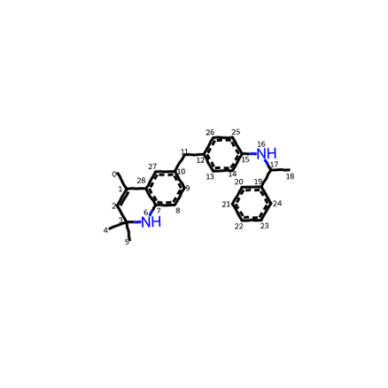 CC1=CC(C)(C)Nc2ccc(Cc3ccc(NC(C)c4ccccc4)cc3)cc21